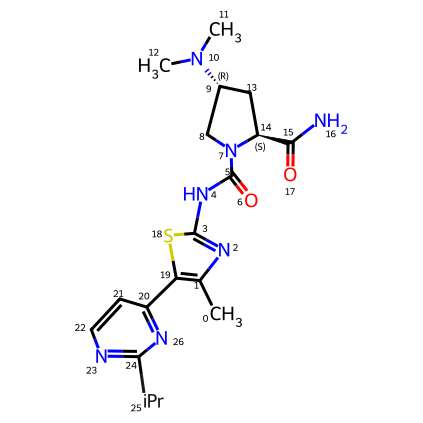 Cc1nc(NC(=O)N2C[C@H](N(C)C)C[C@H]2C(N)=O)sc1-c1ccnc(C(C)C)n1